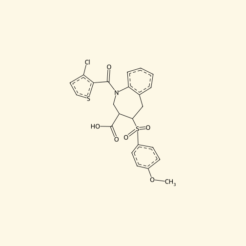 COc1ccc(S(=O)(=O)C2Cc3ccccc3N(C(=O)c3sccc3Cl)CC2C(=O)O)cc1